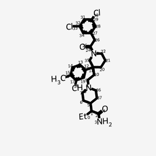 CCC(C(N)=O)C1CCN(CCC2(c3ccc(C)c(C)c3)CCCN(C(=O)Cc3cc(Cl)cc(Cl)c3)C2)CC1